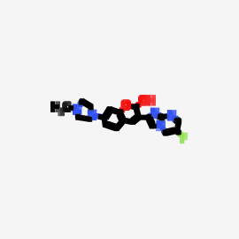 CN1CCN(c2ccc3c(c2)OC(O)C(c2cn4cc(F)cnc4n2)=C3)CC1